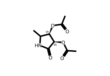 CC(=O)O[C@@H]1C(C)NC(=O)[C@@H]1OC(C)=O